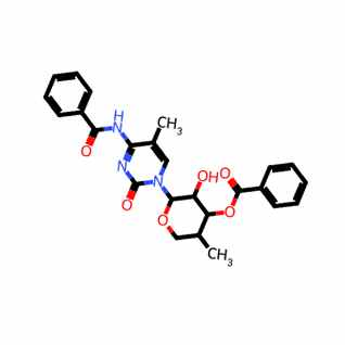 Cc1cn(C2OCC(C)C(OC(=O)c3ccccc3)C2O)c(=O)nc1NC(=O)c1ccccc1